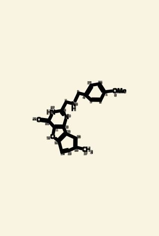 COc1ccc(CNCc2nc3c(oc4ccc(C)cc43)c(=O)[nH]2)cc1